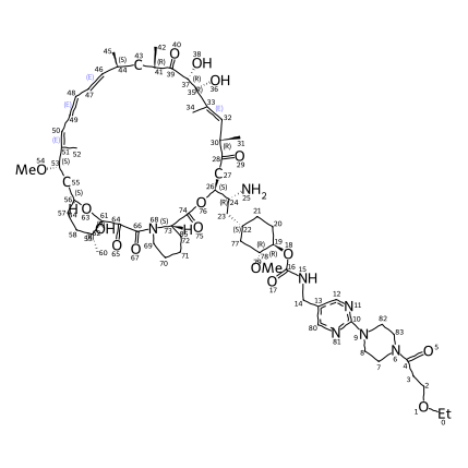 CCOCCC(=O)N1CCN(c2ncc(CNC(=O)O[C@@H]3CC[C@@H](C[C@@H](N)[C@@H]4CC(=O)[C@H](C)/C=C(\C)[C@@H](O)[C@@H](O)C(=O)[C@H](C)C[C@H](C)/C=C/C=C/C=C(\C)[C@@H](OC)C[C@@H]5CC[C@@H](C)[C@@](O)(O5)C(=O)C(=O)N5CCCC[C@H]5C(=O)O4)C[C@H]3OC)cn2)CC1